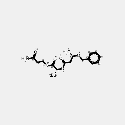 [CH2]C(C)(C)[C@@H](OC(=O)C[C@@H](C)OCc1ccccc1)C(=O)NCCC(N)=O